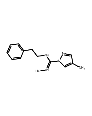 Nc1cnn(C(=NO)NCCc2ccccc2)c1